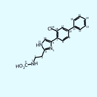 O=C(O)NCCc1nc(-c2ccc(-c3ccccc3)cc2Cl)c[nH]1